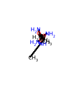 CCCCCCCCCCCCCCCCCCNCCC[C@@H](C)C1CC[C@H]2C3[C@H](OCCCN)CC4C[C@H](OCCCN)CC[C@]4(C)[C@H]3C[C@H](OCCCN)C12C